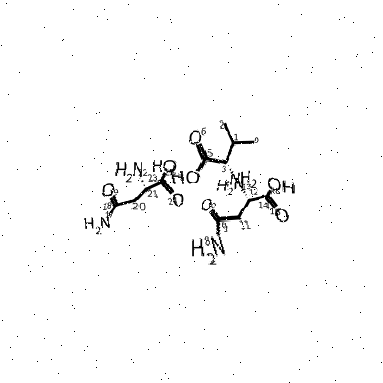 CC(C)[C@H](N)C(=O)O.NC(=O)C[C@H](N)C(=O)O.NC(=O)C[C@H](N)C(=O)O